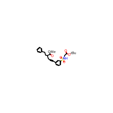 COC(=O)C(CC#Cc1cccc(S(=O)(=O)NCC(=O)OC(C)(C)C)c1)CCc1ccccc1